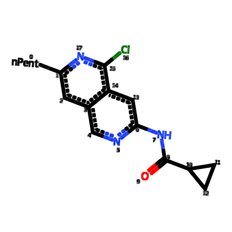 CCCCCc1cc2cnc(NC(=O)C3CC3)cc2c(Cl)n1